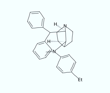 CCc1ccc(N(C)[C@@H]2C3CCN(CC3)[C@@H]2C(c2ccccc2)c2ccccc2)cc1